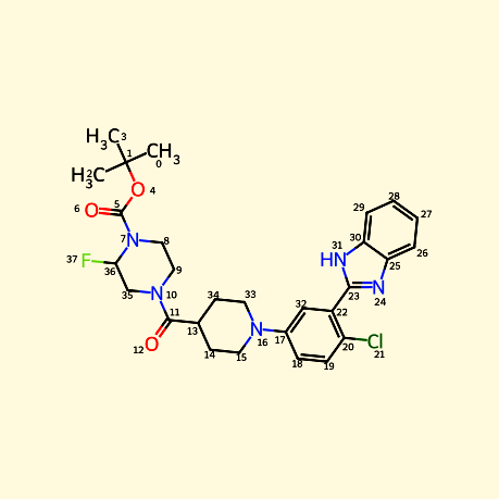 CC(C)(C)OC(=O)N1CCN(C(=O)C2CCN(c3ccc(Cl)c(-c4nc5ccccc5[nH]4)c3)CC2)CC1F